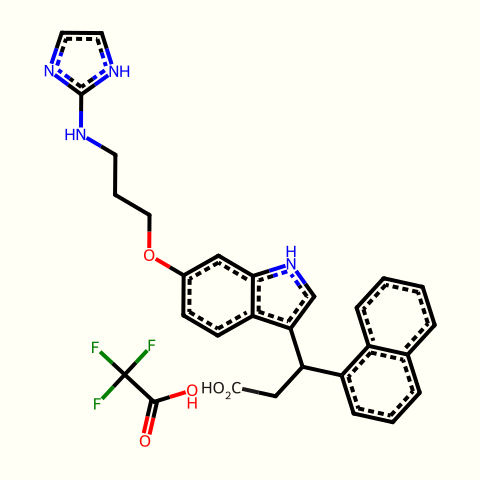 O=C(O)C(F)(F)F.O=C(O)CC(c1cccc2ccccc12)c1c[nH]c2cc(OCCCNc3ncc[nH]3)ccc12